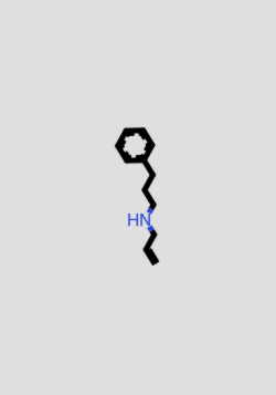 C=CCNCCCc1ccccc1